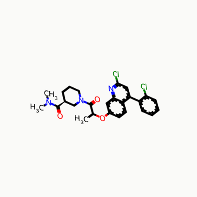 CC(Oc1ccc2c(-c3ccccc3Cl)cc(Cl)nc2c1)C(=O)N1CCC[C@H](C(=O)N(C)C)C1